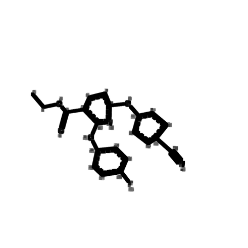 CCOC(=O)c1ccc(Oc2ccc(C#N)cc2)nc1Oc1ccc(F)cc1